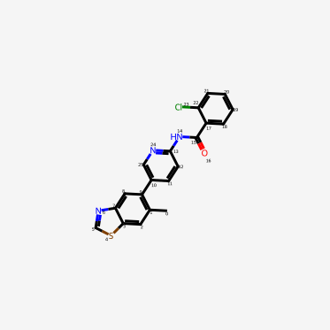 Cc1cc2scnc2cc1-c1ccc(NC(=O)c2ccccc2Cl)nc1